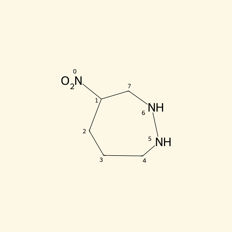 O=[N+]([O-])C1CCCNNC1